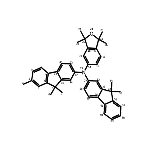 Cc1ccc2c(c1)C(C)(C)c1cc(N(c3ccc4c(c3)C(C)(C)OC4(C)C)c3ccc4c(c3)C(C)(C)c3ccccc3-4)ccc1-2